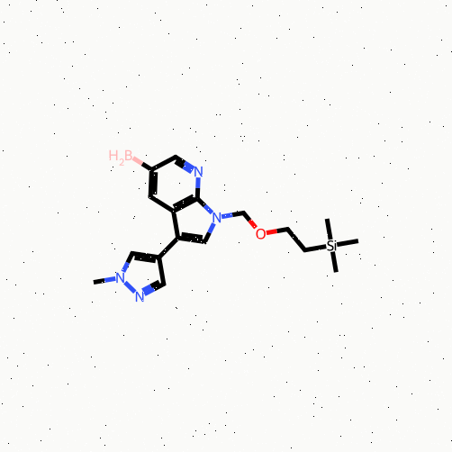 Bc1cnc2c(c1)c(-c1cnn(C)c1)cn2COCC[Si](C)(C)C